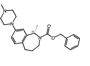 C[C@H]1c2cc(N3CCN(C)CC3)ccc2CCCN1C(=O)OCc1ccccc1